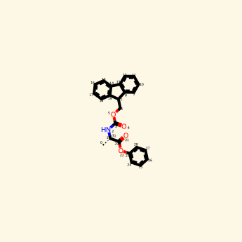 C[C@H](NC(=O)OCC1c2ccccc2-c2ccccc21)C(=O)Oc1ccccc1